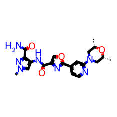 C[C@@H]1CN(c2cc(-c3nc(C(=O)Nc4cn(C)nc4C(N)=O)co3)ccn2)C[C@H](C)O1